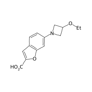 CCOC1CN(c2ccc3cc(C(=O)O)oc3c2)C1